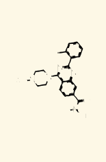 CCN(CC)C(=O)c1ccc2c(N3CCN(C(C)=O)CC3)nc(-c3ccccc3Cl)nc2c1